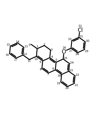 CC1CCc2c3c(ccc2=C1Cc1ccccc1)=c1ccccc1=CC3Oc1cccc(Cl)c1